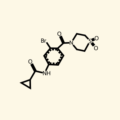 O=C(Nc1ccc(C(=O)N2CCS(=O)(=O)CC2)c(Br)c1)C1CC1